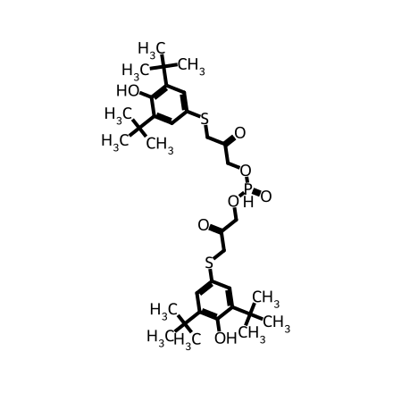 CC(C)(C)c1cc(SCC(=O)CO[PH](=O)OCC(=O)CSc2cc(C(C)(C)C)c(O)c(C(C)(C)C)c2)cc(C(C)(C)C)c1O